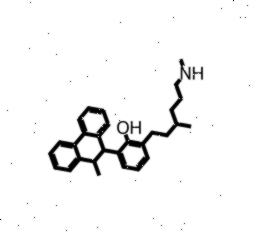 CNCCCC(C)CCc1cccc(C2c3ccccc3-c3ccccc3C2C)c1O